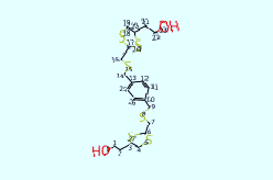 OCCC1CSC(CSCc2ccc(CSCC3SCC(CCO)S3)cc2)S1